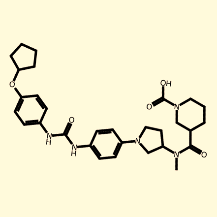 CN(C(=O)C1CCCN(C(=O)O)C1)C1CCN(c2ccc(NC(=O)Nc3ccc(OC4CCCC4)cc3)cc2)C1